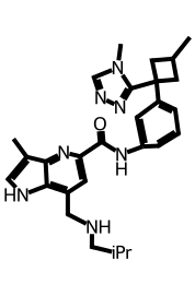 Cc1c[nH]c2c(CNCC(C)C)cc(C(=O)Nc3cccc(C4(c5nncn5C)CC(C)C4)c3)nc12